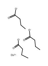 CCCC(=O)[O-].CCCC(=O)[O-].CCCC(=O)[O-].[Os+3]